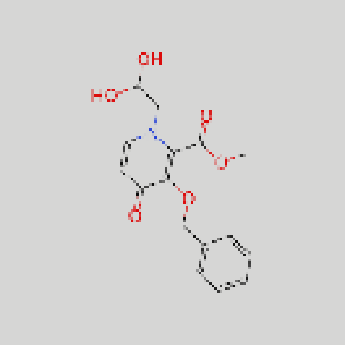 COC(=O)c1c(OCc2ccccc2)c(=O)ccn1CC(O)O